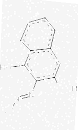 [2H]N=Nc1c(S(=O)(=O)O)cc2ccccc2c1O